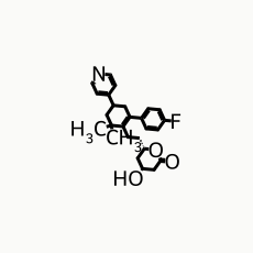 CC1(C)CC(c2ccncc2)CC(c2ccc(F)cc2)=C1CC[C@H]1C[C@H](O)CC(=O)O1